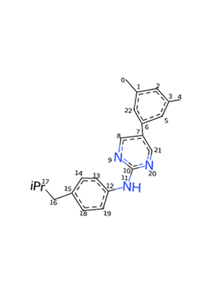 Cc1cc(C)cc(-c2cnc(Nc3ccc(CC(C)C)cc3)nc2)c1